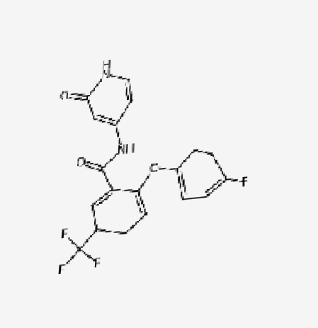 O=C(Nc1cc[nH]c(=O)c1)C1=CC(C(F)(F)F)CC=C1OC1=CC=C(F)CC1